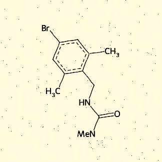 CNC(=O)NCc1c(C)cc(Br)cc1C